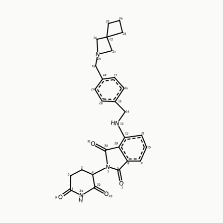 O=C1CCC(N2C(=O)c3cccc(NCc4ccc(CN5CC6(CCC6)C5)cc4)c3C2=O)C(=O)N1